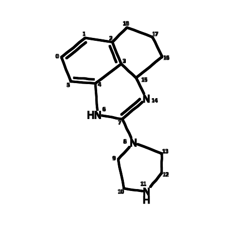 c1cc2c3c(c1)NC(N1CCNCC1)=NC3CCC2